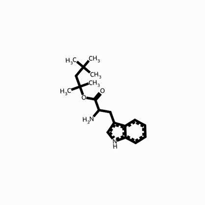 CC(C)(C)CC(C)(C)OC(=O)C(N)Cc1c[nH]c2ccccc12